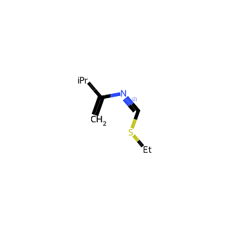 C=C(/N=C\SCC)C(C)C